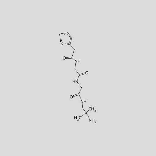 CC(C)(N)CNC(=O)CNC(=O)CNC(=O)Cc1ccccc1